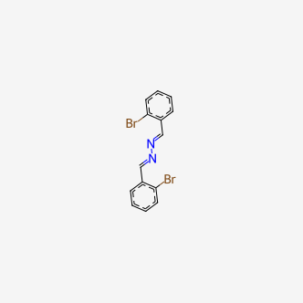 Brc1ccccc1C=NN=Cc1ccccc1Br